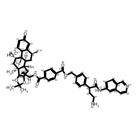 CC1(C)O[C@@H]2C[C@H]3[C@@H]4C[C@H](F)C5=CC(=O)C=C[C@]5(C)[C@@]4(F)[C@@H](O)C[C@]3(C)[C@]2(C(=O)COC(=O)c2ccc(C(=O)OCc3ccc(C(CCN)C(=O)Nc4ccc5cnccc5c4)cc3)cc2)O1